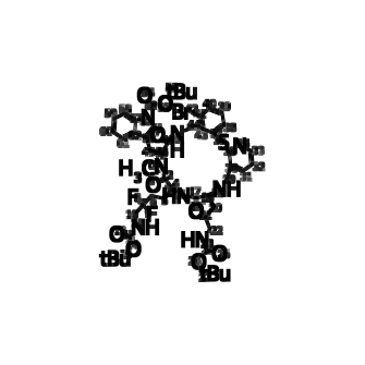 CN1C(=O)[C@H](CCC(F)(F)CNC(=O)OC(C)(C)C)NC(=O)[C@H](CCCNC(=O)OC(C)(C)C)NCc2cccnc2Sc2cccc(Br)c2CNC(=O)[C@@H]1Cc1cn(C(=O)OC(C)(C)C)c2ccccc12